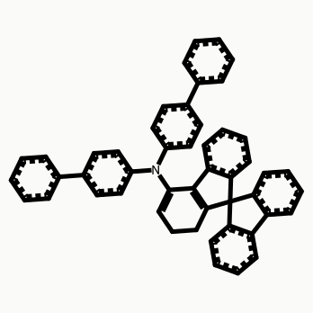 C1=C(N(c2ccc(-c3ccccc3)cc2)c2ccc(-c3ccccc3)cc2)C2=C(CC1)C1(c3ccccc32)c2ccccc2-c2ccccc21